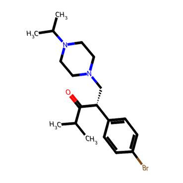 CC(C)C(=O)[C@H](CN1CCN(C(C)C)CC1)c1ccc(Br)cc1